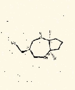 SC[C@H]1CN[C@H]2CCC[C@H]2NC1